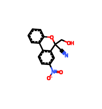 N#CC1(CO)Oc2ccccc2-c2ccc([N+](=O)[O-])cc21